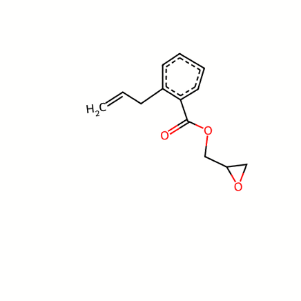 C=CCc1ccccc1C(=O)OCC1CO1